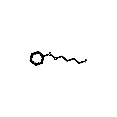 FCCCCOSc1ccccc1